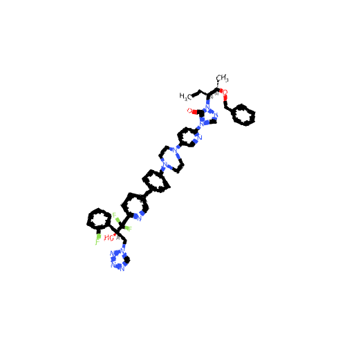 CC[C@@H]([C@H](C)OCc1ccccc1)n1ncn(-c2ccc(N3CCN(c4ccc(-c5ccc(C(F)(F)[C@](O)(Cn6cnnn6)c6ccccc6F)nc5)cc4)CC3)cn2)c1=O